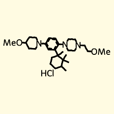 COCCN1CCN(c2ccc(N3CCC(OC)CC3)cc2C2(C)CCCC(C)C2(C)C)CC1.Cl